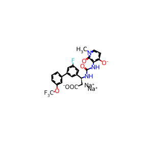 Cn1ccc([O-])c(NC(=O)N[C@@H](CC(=O)[O-])c2cc(F)cc(-c3cccc(OC(F)(F)F)c3)c2)c1=O.[Na+].[Na+]